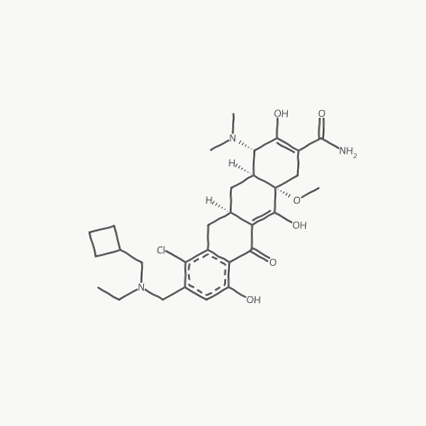 CCN(Cc1cc(O)c2c(c1Cl)C[C@H]1C[C@H]3[C@H](N(C)C)C(O)=C(C(N)=O)C[C@@]3(OC)C(O)=C1C2=O)CC1CCC1